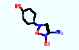 NC1=CN(C2CCC(O)CC2)ON1O